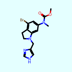 COC(=O)N(C)c1cc(Br)c2c(c1)N(Cc1c[nH]cn1)CC2